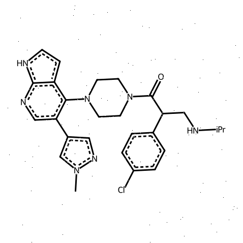 CC(C)NCC(C(=O)N1CCN(c2c(-c3cnn(C)c3)cnc3[nH]ccc23)CC1)c1ccc(Cl)cc1